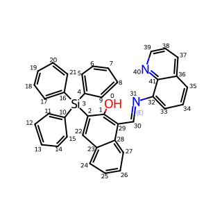 Oc1c([Si](c2ccccc2)(c2ccccc2)c2ccccc2)cc2ccccc2c1/C=N/c1cccc2cccnc12